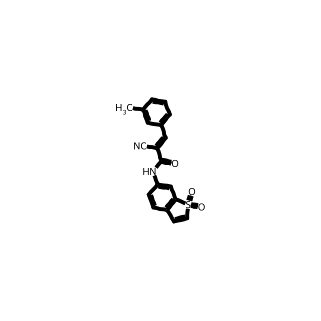 Cc1cccc(/C=C(\C#N)C(=O)Nc2ccc3c(c2)S(=O)(=O)C=C3)c1